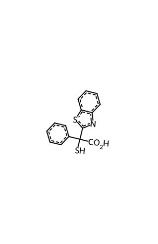 O=C(O)C(S)(c1ccccc1)c1nc2ccccc2s1